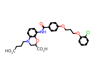 O=C(O)CCCN1CC(C(=O)O)Oc2c(NC(=O)c3ccc(OCCCOc4ccccc4Cl)cc3)cccc21